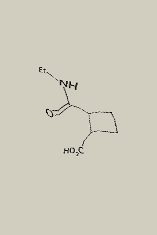 CCNC(=O)C1CCC1C(=O)O